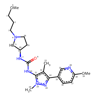 COCCCN1B[C@H](NC(=O)Nc2c(C)c(-c3ccc(OC)nc3)nn2C)CC1